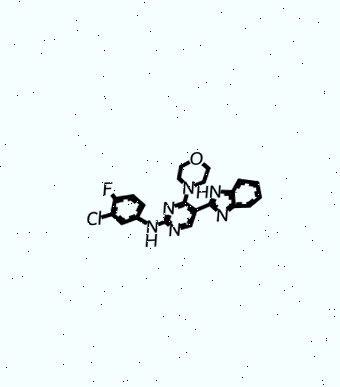 Fc1ccc(Nc2ncc(-c3nc4ccccc4[nH]3)c(N3CCOCC3)n2)cc1Cl